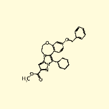 COC(=O)c1cc2n3c(c(C4CCCCC4)n2n1)-c1ccc(OCc2ccccc2)cc1OCC3